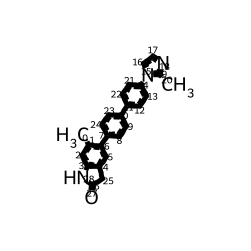 Cc1cc2c(cc1-c1ccc(-c3ccc(-n4ccnc4C)cc3)cc1)CC(=O)N2